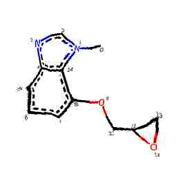 Cn1cnc2cccc(OCC3CO3)c21